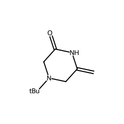 C=C1CN(C(C)(C)C)CC(=O)N1